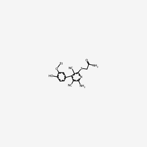 CCOc1cc(-c2c(C#N)c(N)nc(SCC(N)=O)c2C#N)ccc1O